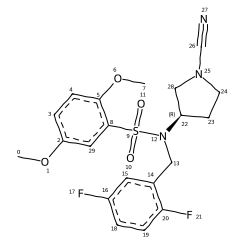 COc1ccc(OC)c(S(=O)(=O)N(Cc2cc(F)ccc2F)[C@@H]2CCN(C#N)C2)c1